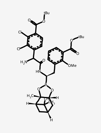 COc1c(C[C@H](NC(=O)C(N)c2ccc(C(=O)OC(C)(C)C)c(Cl)c2Cl)B2O[C@@H]3C[C@@H]4C[C@@H](C4(C)C)[C@]3(C)O2)cccc1C(=O)OC(C)(C)C